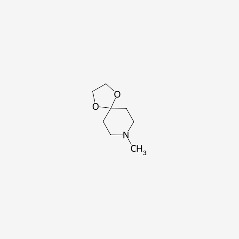 CN1CCC2(CC1)OCCO2